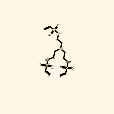 C=CS(=O)(=O)NCCN(CCNS(=O)(=O)C=C)CCNS(=O)(=O)C=C